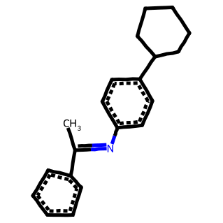 C/C(=N\c1ccc(C2CCCCC2)cc1)c1ccccc1